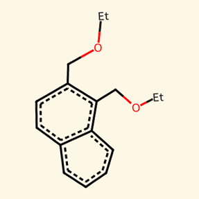 CCOCc1ccc2ccccc2c1COCC